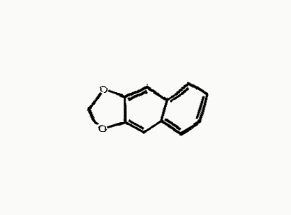 [c]1c2c(cc3ccccc13)OCO2